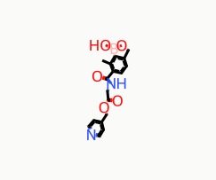 Cc1c(C(=O)NCC(=O)OCc2ccncc2)ccc2c1B(O)OC2